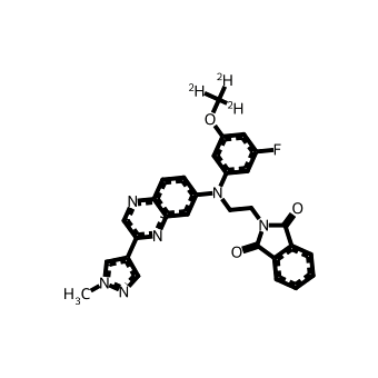 [2H]C([2H])([2H])Oc1cc(F)cc(N(CCN2C(=O)c3ccccc3C2=O)c2ccc3ncc(-c4cnn(C)c4)nc3c2)c1